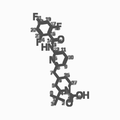 CC(C)(C)C1CC(Cc2cccc(NC(=O)c3c(F)cc(F)cc3F)n2)CCN1C(=O)O